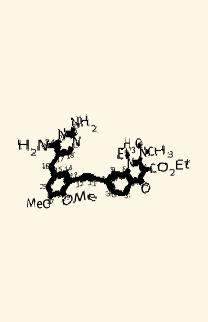 CCOC(=O)c1c(N(C)C)n(CC)c2cc(C#Cc3cc(Cc4cnc(N)nc4N)cc(OC)c3OC)ccc2c1=O